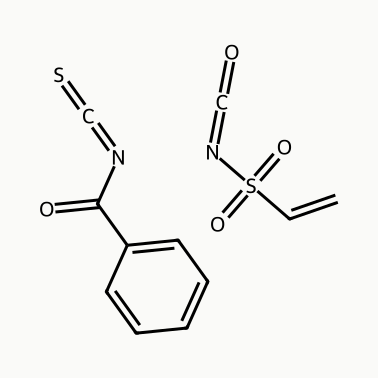 C=CS(=O)(=O)N=C=O.O=C(N=C=S)c1ccccc1